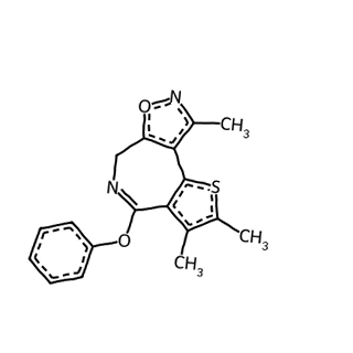 Cc1noc2c1-c1sc(C)c(C)c1C(Oc1ccccc1)=NC2